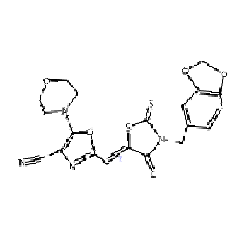 N#Cc1nc(/C=C2\SC(=S)N(Cc3ccc4c(c3)OCO4)C2=O)oc1N1CCOCC1